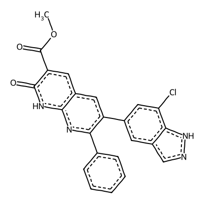 COC(=O)c1cc2cc(-c3cc(Cl)c4[nH]ncc4c3)c(-c3ccccc3)nc2[nH]c1=O